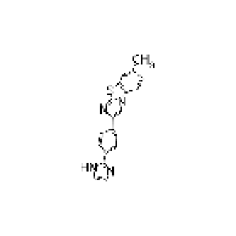 Cc1ccc2c(c1)sc1nc(-c3ccc(-c4ncc[nH]4)cc3)cn12